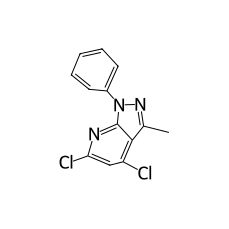 Cc1nn(-c2ccccc2)c2nc(Cl)cc(Cl)c12